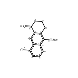 COc1c2c(nc3c(Cl)cccc13)C(=O)CCC2